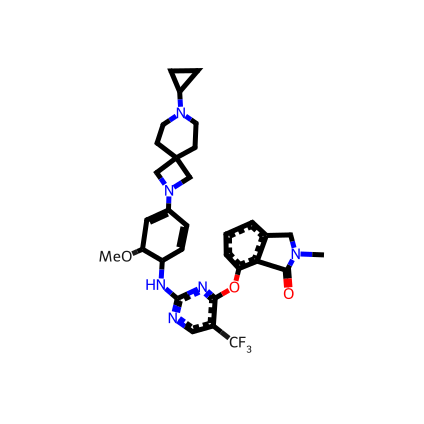 COC1C=C(N2CC3(CCN(C4CC4)CC3)C2)C=CC1Nc1ncc(C(F)(F)F)c(Oc2cccc3c2C(=O)N(C)C3)n1